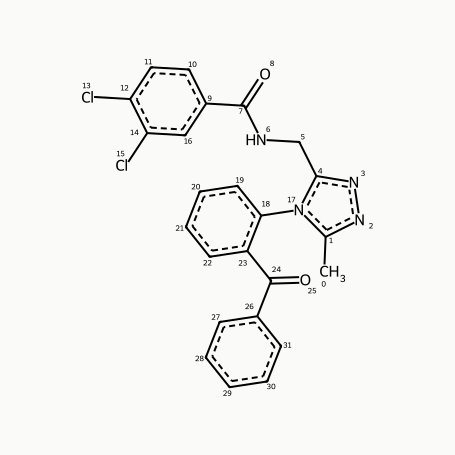 Cc1nnc(CNC(=O)c2ccc(Cl)c(Cl)c2)n1-c1ccccc1C(=O)c1ccccc1